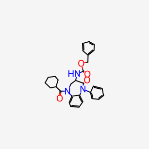 O=C(NC1CN(C(=O)C2CCCCC2)c2ccccc2N(c2ccccc2)C1=O)OCc1ccccc1